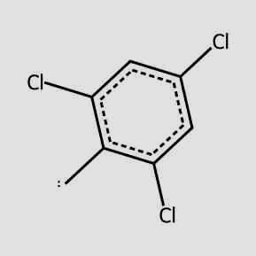 [CH]c1c(Cl)cc(Cl)cc1Cl